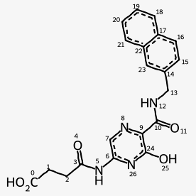 O=C(O)CCC(=O)Nc1cnc(C(=O)NCc2ccc3ccccc3c2)c(O)n1